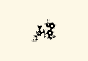 CC(C)(C)OC(=O)n1cc(C(=O)Nc2cc(-c3cccc4[nH]ccc34)cc3[nH]ncc23)c(C2CC2)n1